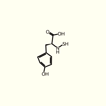 O=C(O)[C@H](Cc1ccc(O)cc1)NS